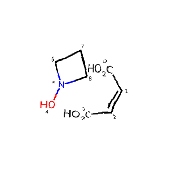 O=C(O)/C=C\C(=O)O.ON1CCC1